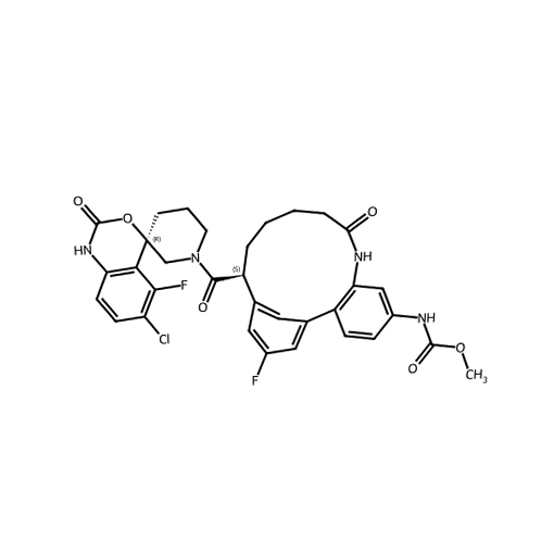 COC(=O)Nc1ccc2c(c1)NC(=O)CCCC[C@H](C(=O)N1CCC[C@@]3(C1)OC(=O)Nc1ccc(Cl)c(F)c13)c1cc(F)cc-2c1